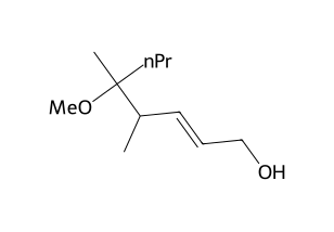 CCCC(C)(OC)C(C)C=CCO